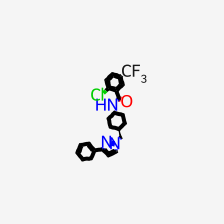 O=C(N[C@H]1CC[C@H](Cn2ccc(C3=CC=CCC3)n2)CC1)c1cc(C(F)(F)F)ccc1Cl